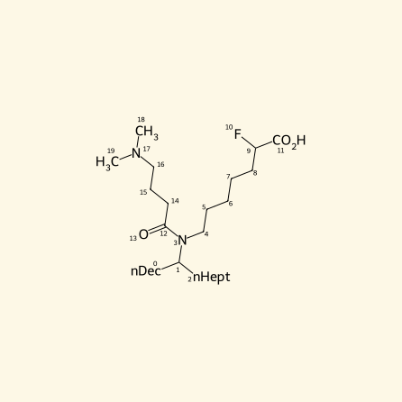 CCCCCCCCCCC(CCCCCCC)N(CCCCCC(F)C(=O)O)C(=O)CCCN(C)C